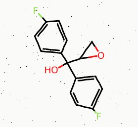 OC(c1ccc(F)cc1)(c1ccc(F)cc1)C1CO1